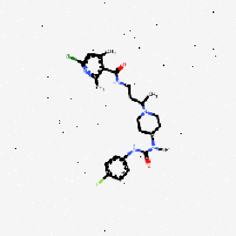 CCCN(C(=O)Nc1ccc(F)cc1)C1CCN(C(C)CCNC(=O)c2c(C)cc(Cl)nc2C)CC1